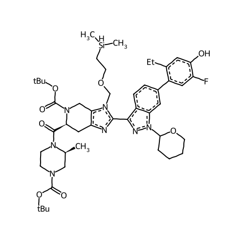 CCc1cc(O)c(F)cc1-c1ccc2c(-c3nc4c(n3COCC[SiH](C)C)CN(C(=O)OC(C)(C)C)[C@H](C(=O)N3CCN(C(=O)OC(C)(C)C)C[C@@H]3C)C4)nn(C3CCCCO3)c2c1